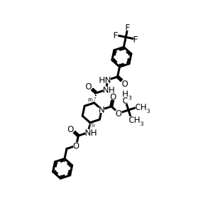 CC(C)(C)OC(=O)N1C[C@@H](NC(=O)OCc2ccccc2)CC[C@@H]1C(=O)NNC(=O)c1ccc(C(F)(F)F)cc1